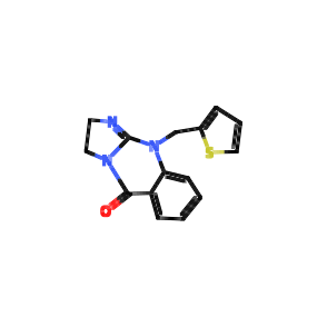 O=C1c2ccccc2N(Cc2cccs2)C2=NCCN12